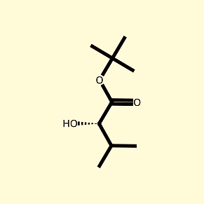 CC(C)[C@H](O)C(=O)OC(C)(C)C